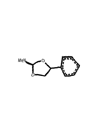 CNC1OCC(c2ccccc2)O1